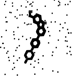 CN1CCN(c2ccc(-c3cnc4[nH]c5cnc(CO)cc5c4c3)cc2)CC1